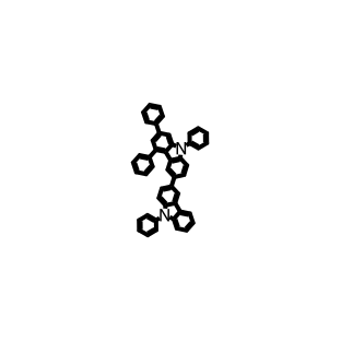 c1ccc(-c2cc(-c3ccccc3)c3c4cc(-c5ccc6c(c5)c5ccccc5n6-c5ccccc5)ccc4n(-c4ccccc4)c3c2)cc1